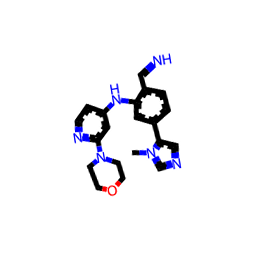 Cn1cncc1-c1ccc(C=N)c(Nc2ccnc(N3CCOCC3)c2)c1